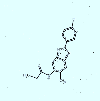 CCC(=O)Nc1cc2nn(-c3ccc(Cl)cc3)nc2cc1C